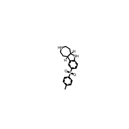 Cc1ccc(S(=O)(=O)c2ccc3c(c2)[C@@H]2CCNCC[C@@H]2N3)cc1